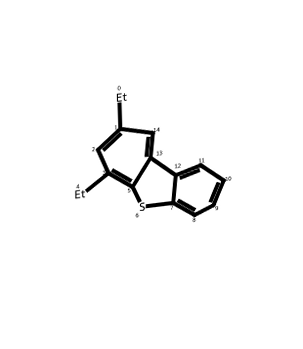 CCc1cc(CC)c2sc3ccccc3c2c1